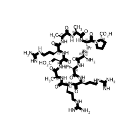 CC[C@H](C)[C@H](N)C(=O)N[C@H](C(=O)N[C@@H](CCCNC(=N)N)C(=O)N[C@@H](CCCNC(=N)N)C(=O)N[C@@H](C)C(=O)N[C@@H](CC(=O)O)C(=O)N[C@@H](CCCNC(=N)N)C(=O)N[C@@H](C)C(=O)N[C@@H](C)C(=O)N[C@H](C(=O)N1CCC[C@H]1C(=O)O)C(C)C)C(C)C